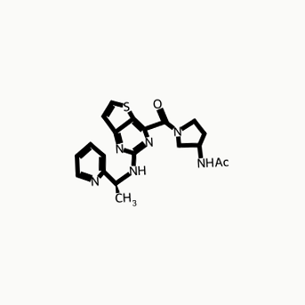 CC(=O)NC1CCN(C(=O)c2nc(N[C@@H](C)c3ccccn3)nc3ccsc23)C1